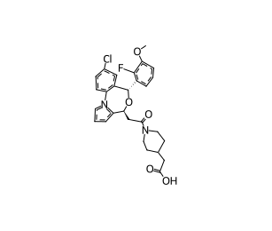 COc1cccc([C@@H]2O[C@@H](CC(=O)N3CCC(CC(=O)O)CC3)c3cccn3-c3ccc(Cl)cc32)c1F